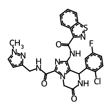 Cn1ccc(CNC(=O)c2nc(NC(=O)c3nsc4ccccc34)c3n2CC(=O)NC3c2cc(F)ccc2Cl)n1